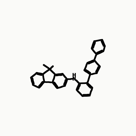 CC1(C)c2ccccc2-c2ccc(Nc3ccccc3-c3ccc(-c4ccccc4)cc3)cc21